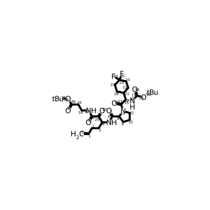 C=CCCC(NC(=O)C1CCCN1C(=O)[C@@H](NC(=O)OC(C)(C)C)C1CCC(F)(F)CC1)C(=O)C(=O)NCCC(=O)OC(C)(C)C